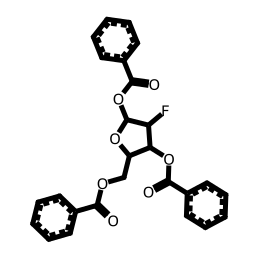 O=C(OCC1OC(OC(=O)c2ccccc2)C(F)C1OC(=O)c1ccccc1)c1ccccc1